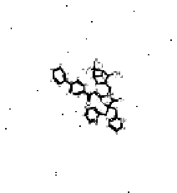 CC1C(CN2C(=O)C(Cc3ccccn3)(Cc3ccccn3)NC2=CC(=O)c2ccc(-c3ccccc3)cc2)CC2CC1C2(C)C